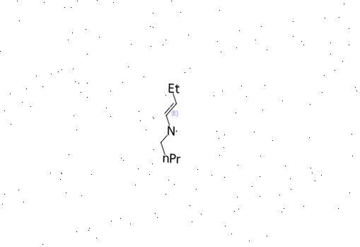 CC/C=C/[N]CCCC